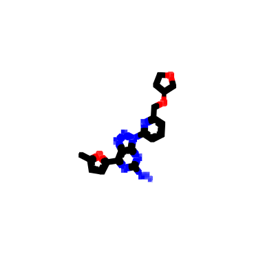 Cc1ccc(-c2nc(N)nc3c2nnn3-c2cccc(CO[C@H]3CCOC3)n2)o1